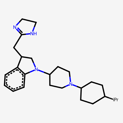 CC(C)C1CCC(N2CCC(N3CC(CC4=NCCN4)c4ccccc43)CC2)CC1